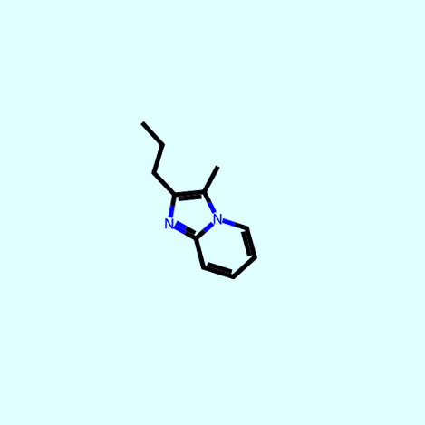 CCCc1nc2ccccn2c1C